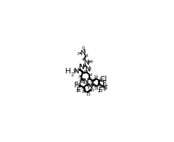 CN(C)CCN(C)c1nc(N)c2c(n1)CC(c1ccc(C(F)(F)F)c(Cl)c1)N(c1ncccc1C(F)(F)F)CC2